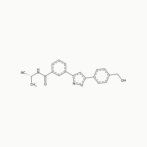 C[C@H](C#N)NC(=O)c1cccc(-c2cc(-c3ccc(CO)cc3)on2)c1